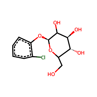 OCC1O[C@@H](Oc2ccccc2Cl)C(O)[C@@H](O)[C@@H]1O